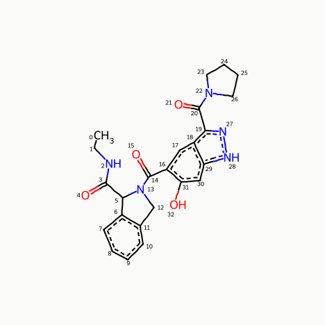 CCNC(=O)C1c2ccccc2CN1C(=O)c1cc2c(C(=O)N3CCCC3)n[nH]c2cc1O